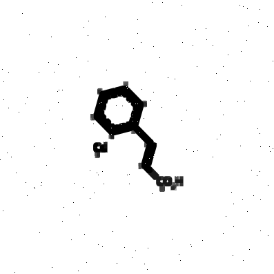 O=C(O)/C=C/c1ccccc1.[Cd]